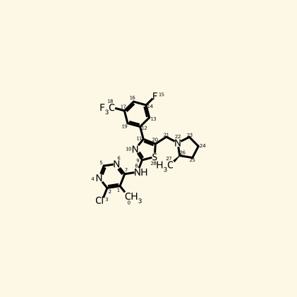 Cc1c(Cl)ncnc1Nc1nc(-c2cc(F)cc(C(F)(F)F)c2)c(CN2CCC[C@H]2C)s1